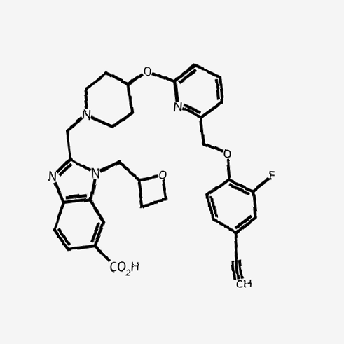 C#Cc1ccc(OCc2cccc(OC3CCN(Cc4nc5ccc(C(=O)O)cc5n4CC4CCO4)CC3)n2)c(F)c1